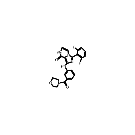 O=C(c1cccc(Nc2nc(-c3c(F)cccc3F)n3cc[nH]c(=O)c23)c1)N1CCOCC1